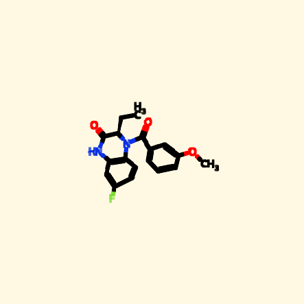 CC[C@@H]1C(=O)Nc2cc(F)ccc2N1C(=O)c1cccc(OC)c1